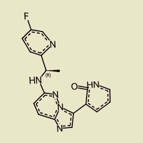 C[C@@H](Nc1ccc2ncc(-c3ccc[nH]c3=O)n2n1)c1ccc(F)cn1